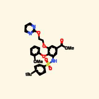 COC(=O)c1cc(NS(=O)(=O)c2ccc(C(C)(C)C)cc2)c(Oc2ccccc2OC)c(OCCOc2ncccn2)c1